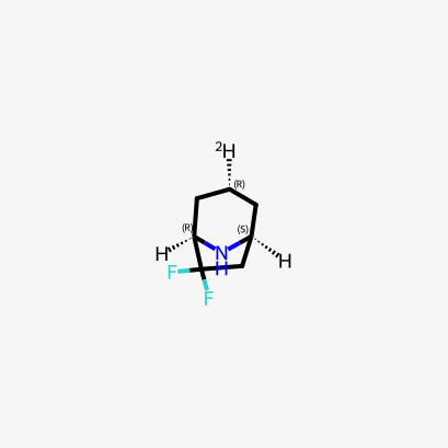 [2H][C@@H]1C[C@H]2CC(F)(F)[C@@H](C1)N2